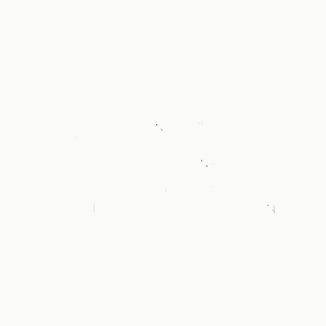 CCc1cc(Cl)cc2nc(O)c(NC(=O)c3ccncc3)c(O)c12